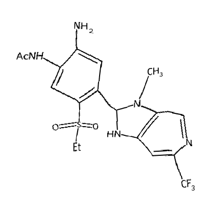 CCS(=O)(=O)c1cc(NC(C)=O)c(N)cc1C1Nc2cc(C(F)(F)F)ncc2N1C